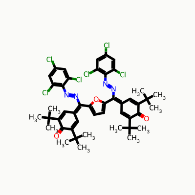 CC(C)(C)C1=CC(=C(/N=N/c2c(Cl)cc(Cl)cc2Cl)c2ccc(C(/N=N/c3c(Cl)cc(Cl)cc3Cl)=C3C=C(C(C)(C)C)C(=O)C(C(C)(C)C)=C3)o2)C=C(C(C)(C)C)C1=O